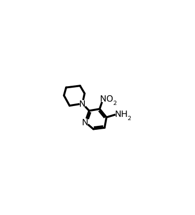 Nc1ccnc(N2CCCCC2)c1[N+](=O)[O-]